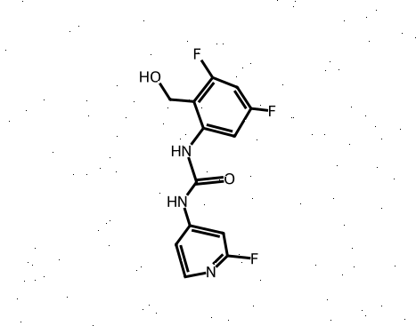 O=C(Nc1ccnc(F)c1)Nc1cc(F)cc(F)c1CO